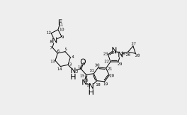 O=C(NC1CCC(CN2CC(F)C2)CC1)c1n[nH]c2ccc(-c3cnn(C4CC4)c3)cc12